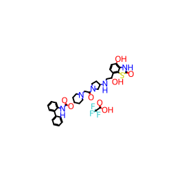 O=C(Nc1ccccc1-c1ccccc1)OC1CCN(CC(=O)N2CC[C@@H](NC[C@H](O)c3ccc(O)c4[nH]c(=O)sc34)C2)CC1.O=C(O)C(F)(F)F